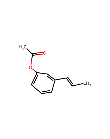 CC=Cc1cccc(OC(C)=O)c1